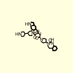 C[N+]1(C(=O)C(CC(=O)N2CCC(N3CCc4ccccc4NC3=O)CC2)Cc2ccc3[nH]ccc3c2)CCC(C2CCNCC2)CC1